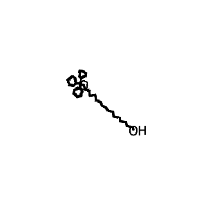 OCCCCCCCCCCCCCCCCOC(c1ccccc1)(c1ccccc1)c1ccccc1